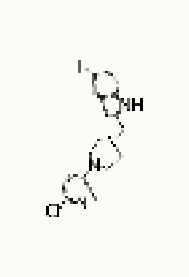 Fc1ccc2[nH]c(CN3CCN(c4ccc(Cl)nn4)CC3)cc2c1